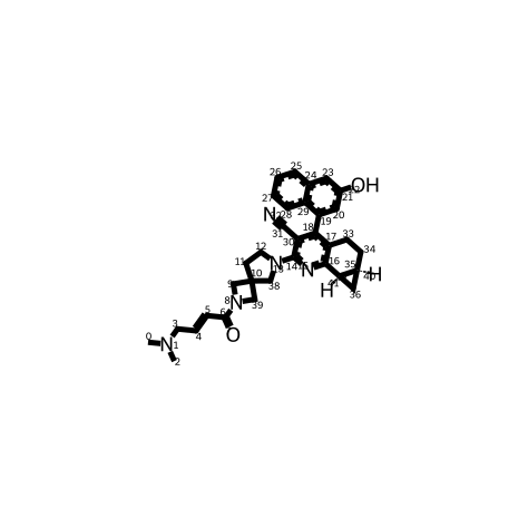 CN(C)C/C=C/C(=O)N1CC2(CCN(c3nc4c(c(-c5cc(O)cc6ccccc56)c3C#N)CC[C@H]3C[C@@H]43)C2)C1